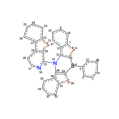 c1ccc(B2c3sc4ccccc4c3N(c3nccc4c3sc3ccccc34)c3c2sc2ccccc32)cc1